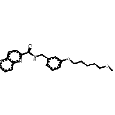 COCCCCCOc1cccc(CNC(=O)c2ccc3ncccc3n2)c1